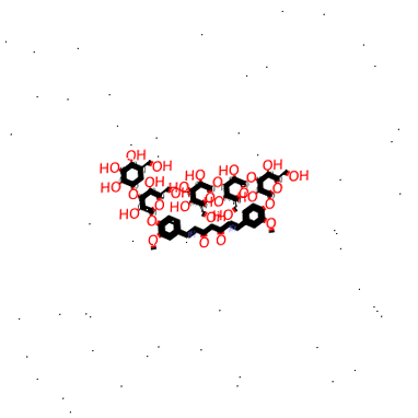 COc1cc(/C=C/C(=O)CC(=O)/C=C/c2ccc(O[C@@H]3O[C@H](CO)[C@@H](O)[C@H](O[C@@H]4C[C@H](CO)[C@@H](O)[C@H](O)[C@H]4O)[C@H]3O)c(OC)c2)ccc1O[C@@H]1O[C@H](CO)[C@@H](O)[C@H](O[C@@H]2O[C@H](CO)[C@@H](O)[C@H](O[C@@H]3O[C@H](CO)[C@@H](O)[C@H](O)[C@H]3O)[C@H]2O)[C@H]1O